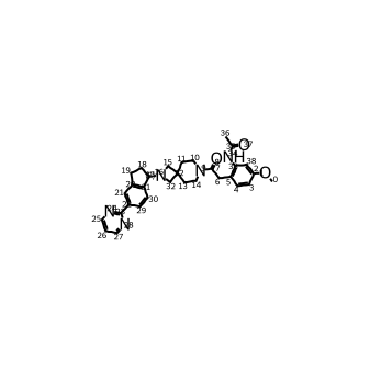 COc1ccc(CC(=O)N2CCC3(CC2)CN([C@@H]2CCc4cc(-c5ncccn5)ccc42)C3)c(NC(C)=O)c1